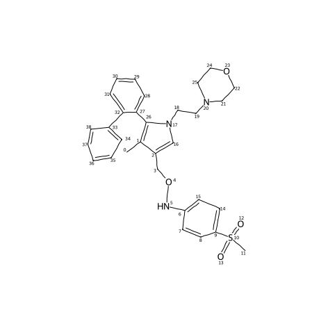 Cc1c(CONc2ccc(S(C)(=O)=O)cc2)cn(CCN2CCOCC2)c1-c1ccccc1-c1ccccc1